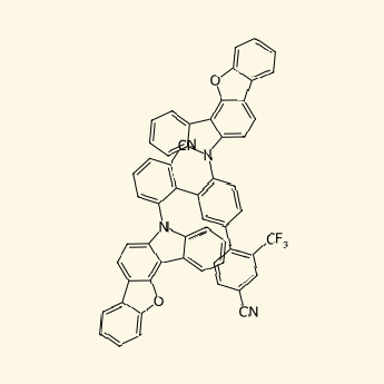 N#Cc1ccc(-c2ccc(-n3c4ccccc4c4c5oc6ccccc6c5ccc43)c(-c3c(C#N)cccc3-n3c4ccccc4c4c5oc6ccccc6c5ccc43)c2)c(C(F)(F)F)c1